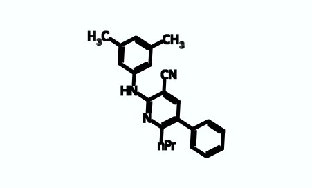 CCCc1nc(Nc2cc(C)cc(C)c2)c(C#N)cc1-c1ccccc1